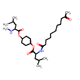 CNC(CC(C)C)C(=O)OC1CCC(OC(=O)C(CC(C)C)NC(=O)CCCCCCCCC(C)=O)CC1